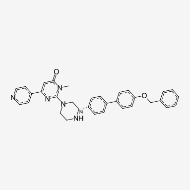 Cn1c(N2CCN[C@@H](c3ccc(-c4ccc(OCc5ccccc5)cc4)cc3)C2)nc(-c2ccncc2)cc1=O